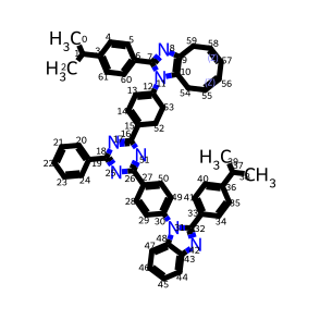 CC(C)c1ccc(-c2nc3c(n2C2=CC=C(c4nc(-c5ccccc5)nc(-c5ccc(-n6c(-c7ccc(C(C)C)cc7)nc7ccccc76)cc5)n4)CC2)C/C=C\C=C/C3)cc1